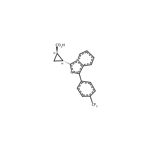 O=C(O)[C@@H]1C[C@H]1c1nc(-c2ccc(C(F)(F)F)cc2)c2ccccn12